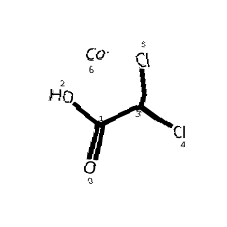 O=C(O)C(Cl)Cl.[Co]